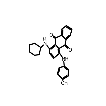 O=C1c2ccccc2C(=O)c2c(NC3CCCCC3)ccc(Nc3ccc(O)cc3)c21